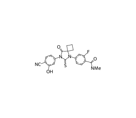 CNC(=O)c1ccc(N2C(=S)N(c3ccc(C#N)c(O)c3)C(=O)C23CCC3)cc1F